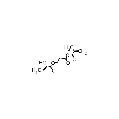 C=C(C)C(=O)OC(=O)CCOC(=O)C(O)=CC